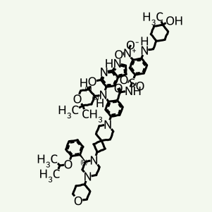 CC(C)Oc1ccccc1[C@@H]1CN(C2CCOCC2)CCN1C1CC2(CCN(c3ccc(C(=O)NS(=O)(=O)c4ccc(NCC5CCC(C)(O)CC5)c([N+](=O)[O-])c4)c(N4c5cc6cc[nH]c6nc5O[C@H]5COC(C)(C)C[C@@H]54)c3)CC2)C1